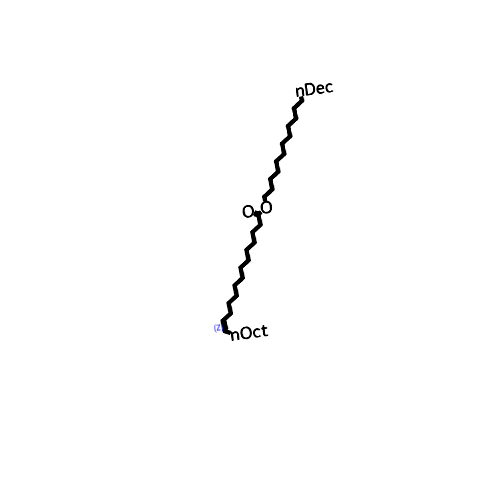 CCCCCCCC/C=C\CCCCCCCCCCCC(=O)OCCCCCCCCCCCCCCCCCCCCCC